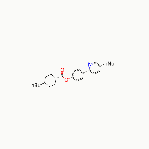 CCCCCCCCCc1ccc(-c2ccc(OC(=O)[C@H]3CC[C@H](CCCC)CC3)cc2)nc1